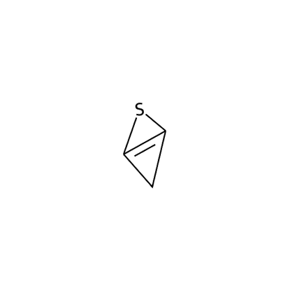 C1C2=C1S2